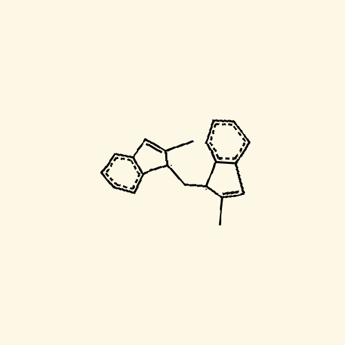 CC1=Cc2ccccc2[C]1C[C]1C(C)=Cc2ccccc21